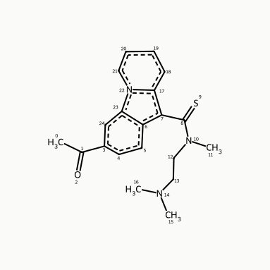 CC(=O)c1ccc2c(C(=S)N(C)CCN(C)C)c3ccccn3c2c1